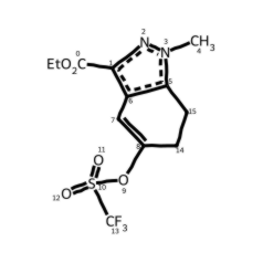 CCOC(=O)c1nn(C)c2c1C=C(OS(=O)(=O)C(F)(F)F)CC2